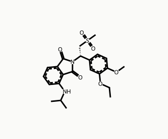 CCOc1cc([C@@H](CS(C)(=O)=O)N2C(=O)c3cccc(NC(C)C)c3C2=O)ccc1OC